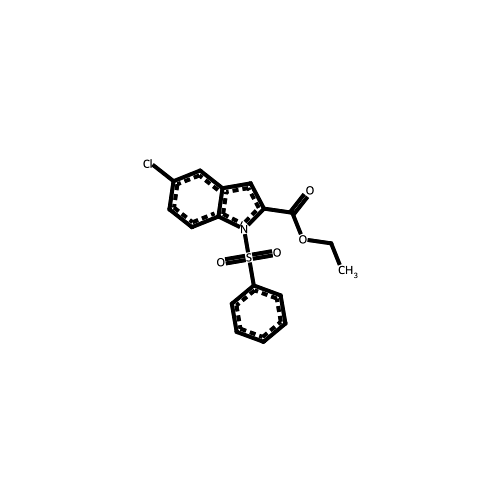 CCOC(=O)c1cc2cc(Cl)ccc2n1S(=O)(=O)c1ccccc1